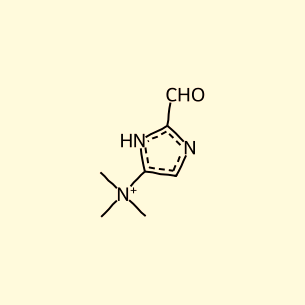 C[N+](C)(C)c1cnc(C=O)[nH]1